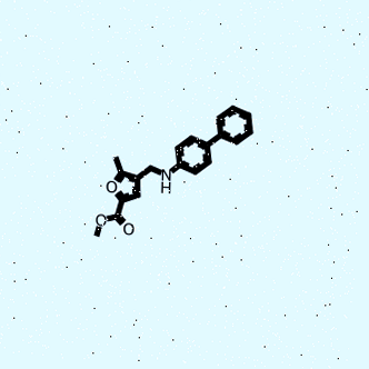 COC(=O)c1cc(CNc2ccc(-c3ccccc3)cc2)c(C)o1